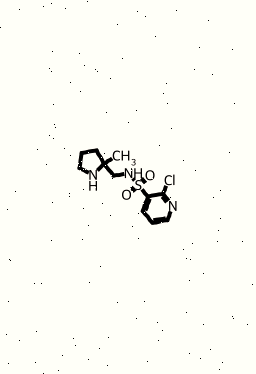 CC1(CNS(=O)(=O)c2cccnc2Cl)CCCN1